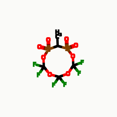 CC1S(=O)(=O)OC(F)(F)OC(F)(F)OC(F)(F)OS1(=O)=O